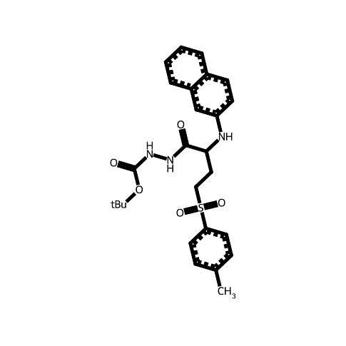 Cc1ccc(S(=O)(=O)CCC(Nc2ccc3ccccc3c2)C(=O)NNC(=O)OC(C)(C)C)cc1